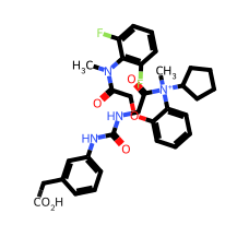 CN(C(=O)COc1ccccc1[N+](C)(C(=O)CNC(=O)Nc1cccc(CC(=O)O)c1)C1CCCC1)c1c(F)cccc1F